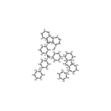 Fc1cccc2c3ccccc3n(-c3cccc(N(c4ccc(-c5ccccc5)cc4)c4ccc(-c5cccc6c5sc5c(-c7ccccc7)cccc56)cc4)c3)c12